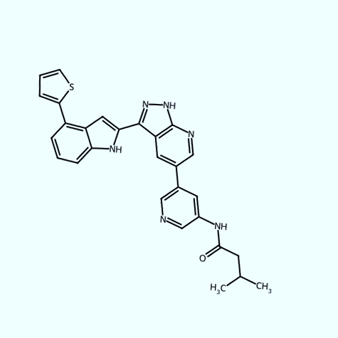 CC(C)CC(=O)Nc1cncc(-c2cnc3[nH]nc(-c4cc5c(-c6cccs6)cccc5[nH]4)c3c2)c1